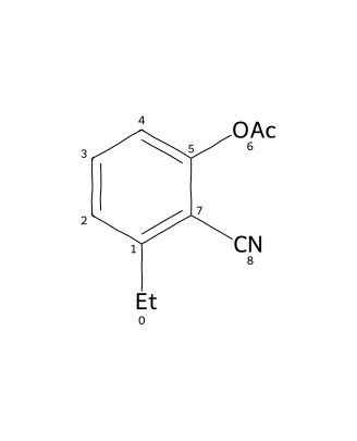 CCc1cccc(OC(C)=O)c1C#N